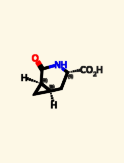 O=C(O)[C@@H]1C[C@H]2C[C@H]2C(=O)N1